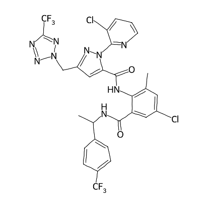 Cc1cc(Cl)cc(C(=O)NC(C)c2ccc(C(F)(F)F)cc2)c1NC(=O)c1cc(Cn2nnc(C(F)(F)F)n2)nn1-c1ncccc1Cl